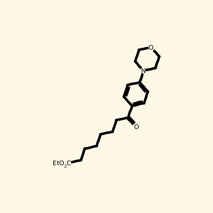 CCOC(=O)CCCCCCC(=O)c1ccc(N2CCOCC2)cc1